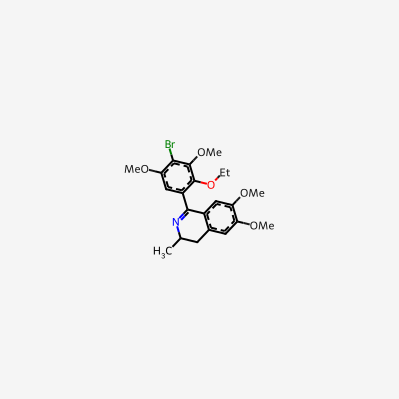 CCOc1c(C2=NC(C)Cc3cc(OC)c(OC)cc32)cc(OC)c(Br)c1OC